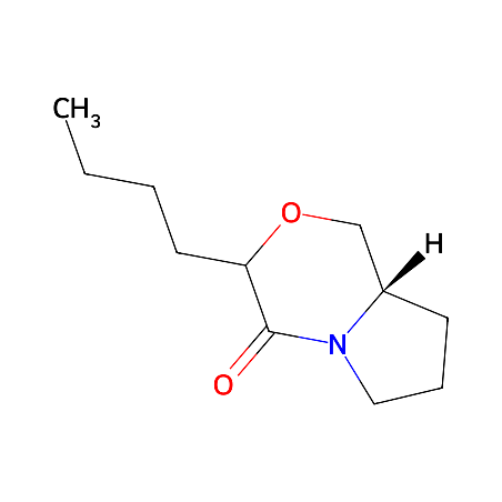 CCCCC1OC[C@@H]2CCCN2C1=O